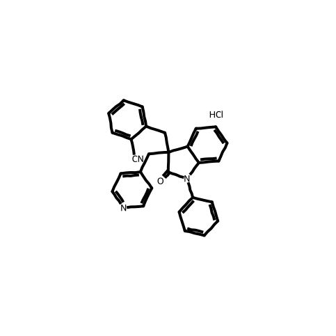 Cl.N#Cc1ccccc1CC1(Cc2ccncc2)C(=O)N(c2ccccc2)c2ccccc21